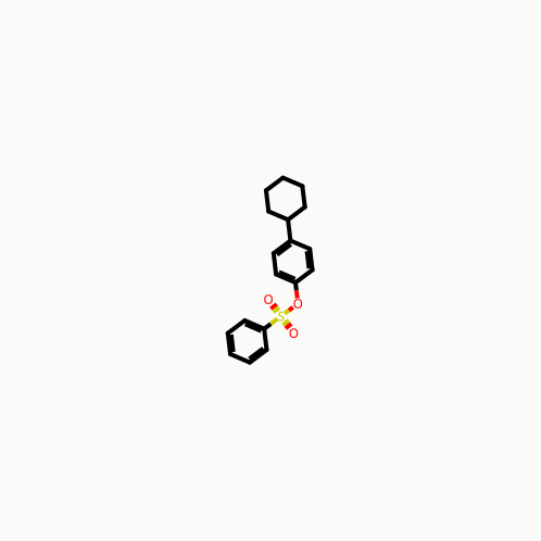 O=S(=O)(Oc1ccc(C2CCCCC2)cc1)c1ccccc1